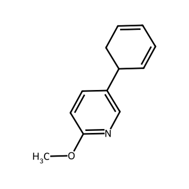 COc1ccc(C2C=CC=CC2)cn1